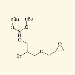 CCCCO[SiH](OCCCC)OCC(CC)COCC1CO1